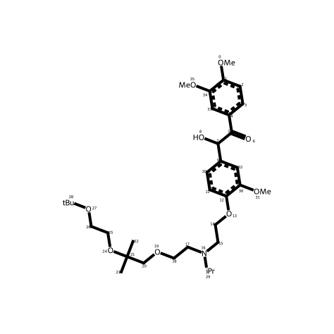 COc1ccc(C(=O)C(O)c2ccc(OCCN(CCOCC(C)(C)OCCOC(C)(C)C)C(C)C)c(OC)c2)cc1OC